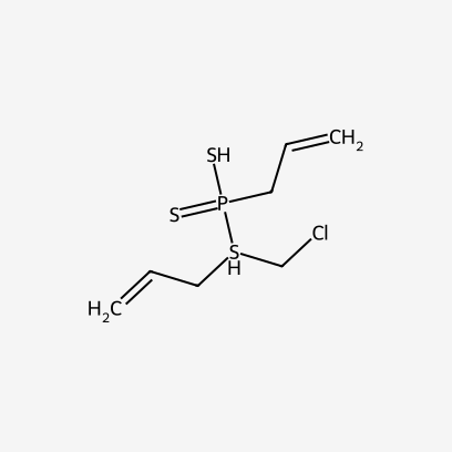 C=CC[SH](CCl)P(=S)(S)CC=C